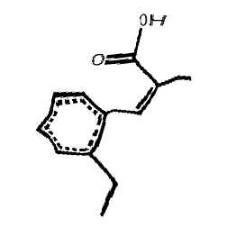 CCc1ccccc1C=C(C)C(=O)O